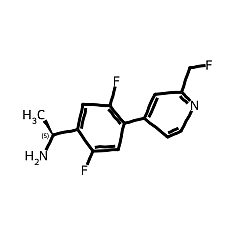 C[C@H](N)c1cc(F)c(-c2ccnc(CF)c2)cc1F